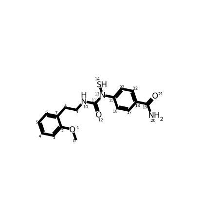 COc1ccccc1CCNC(=O)N(S)c1ccc(C(N)=O)cc1